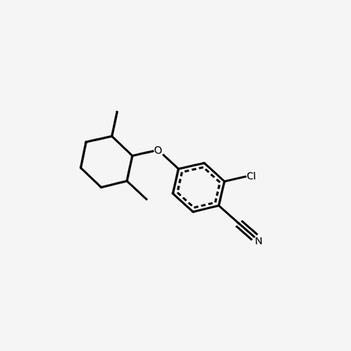 CC1CCCC(C)C1Oc1ccc(C#N)c(Cl)c1